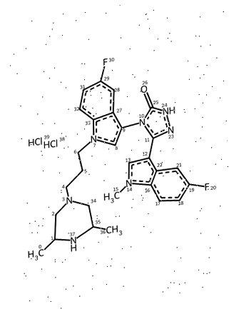 CC1CN(CCCn2cc(-n3c(-c4cn(C)c5ccc(F)cc45)n[nH]c3=O)c3cc(F)ccc32)CC(C)N1.Cl.Cl